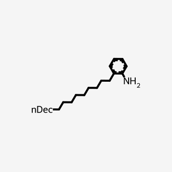 CCCCCCCCCCCCCCCCCCCc1ccccc1N